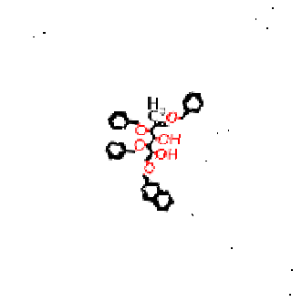 CC(COCc1ccccc1)C(OCc1ccccc1)C(O)C(OCc1ccccc1)C(O)COCc1ccc2ccccc2c1